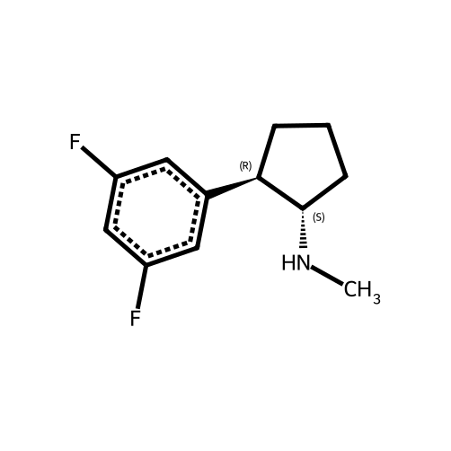 CN[C@H]1CCC[C@@H]1c1cc(F)cc(F)c1